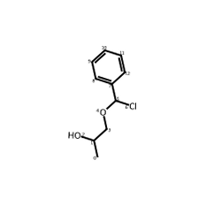 CC(O)COC(Cl)c1ccccc1